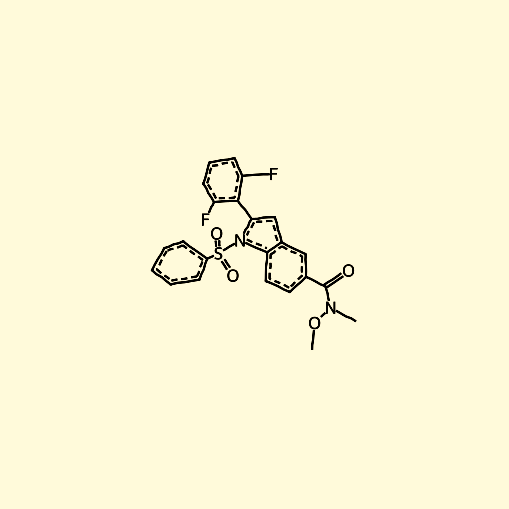 CON(C)C(=O)c1ccc2c(c1)cc(-c1c(F)cccc1F)n2S(=O)(=O)c1ccccc1